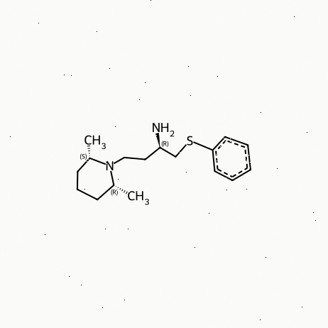 C[C@@H]1CCC[C@H](C)N1CC[C@@H](N)CSc1ccccc1